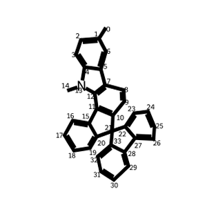 Cc1ccc2c(c1)c1ccc3c(c1n2C)-c1ccccc1C31c2ccccc2-c2ccccc21